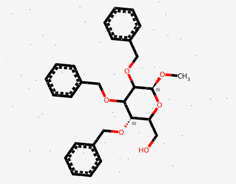 CO[C@H]1OC(CO)[C@H](OCc2ccccc2)C(OCc2ccccc2)C1OCc1ccccc1